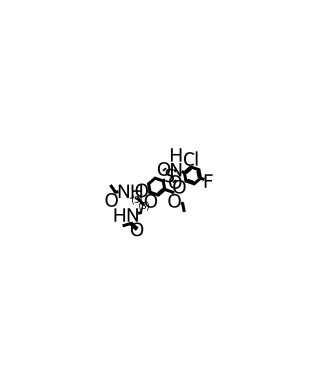 CCOC(=O)C1=CC2(CCC1S(=O)(=O)Nc1ccc(F)cc1Cl)O[C@@H](CNC(C)=O)[C@H](CNC(C)=O)O2